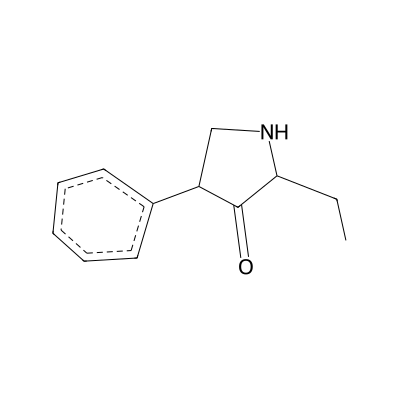 CCC1NCC(c2ccccc2)C1=O